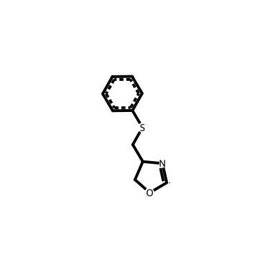 [C]1=NC(CSc2ccccc2)CO1